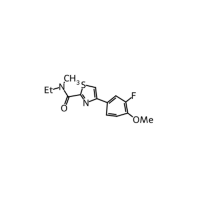 CCN(C)C(=O)c1nc(-c2ccc(OC)c(F)c2)cs1